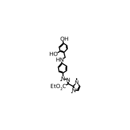 CCOC(=O)/C(=N\N(C)c1ccc(NCc2ccc(O)cc2O)cc1)c1n(C)cc[n+]1C